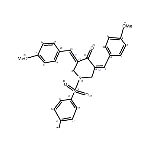 COc1ccc(/C=C2/CN(S(=O)(=O)c3ccc(C)cc3)C/C(=C\c3ccc(OC)cc3)C2=O)cc1